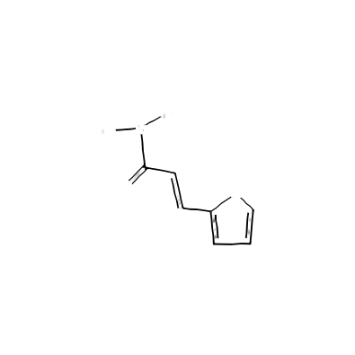 CC(C)N(C(=O)C=Cc1cccs1)C(C)C